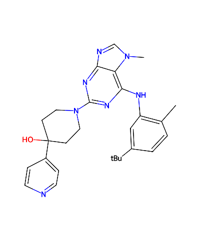 Cc1ccc(C(C)(C)C)cc1Nc1nc(N2CCC(O)(c3ccncc3)CC2)nc2ncn(C)c12